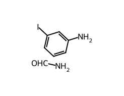 NC=O.Nc1cccc(I)c1